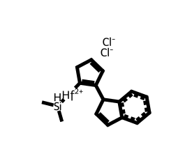 C[SiH](C)[Hf+2][C]1=C(C2C=Cc3ccccc32)C=CC1.[Cl-].[Cl-]